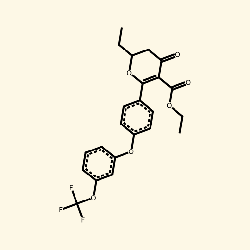 CCOC(=O)C1=C(c2ccc(Oc3cccc(OC(F)(F)F)c3)cc2)OC(CC)CC1=O